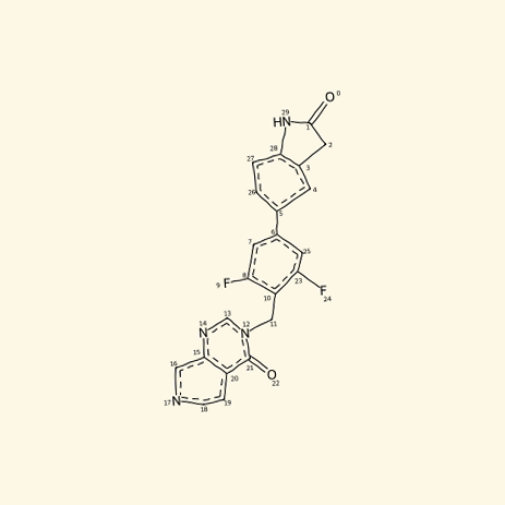 O=C1Cc2cc(-c3cc(F)c(Cn4cnc5cnccc5c4=O)c(F)c3)ccc2N1